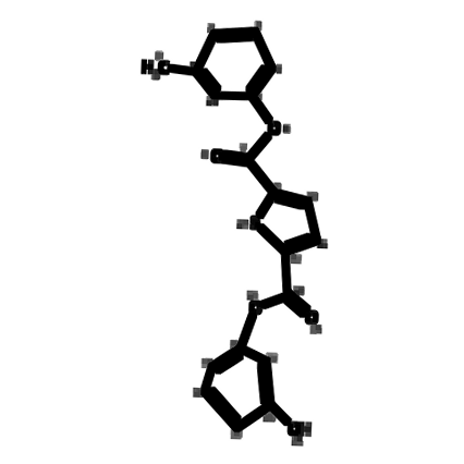 Cc1cccc(OC(=O)c2ccc(C(=O)Oc3cccc(O)c3)s2)c1